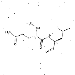 CC(C)C[C@@H](C=O)NC(=O)[C@H](CCC(N)=O)NN